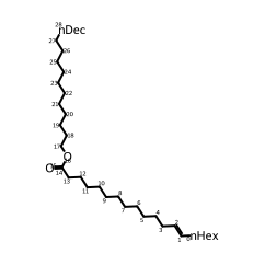 CCCCCCC=CCCCCCCCCCCCC(=O)OCCCCCCCCCCCCCCCCCCCCC